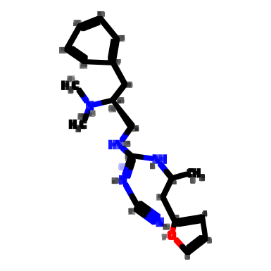 CC(Cc1ccco1)N/C(=N\C#N)NC[C@H](Cc1ccccc1)N(C)C